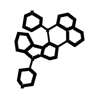 c1cncc(N2c3cccc4cccc(c34)-c3ccc4c(c32)c2ccccc2n4-c2ccncc2)c1